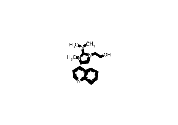 CN(C)C1N(C)C=CN1CCO.c1ccc2ncccc2c1